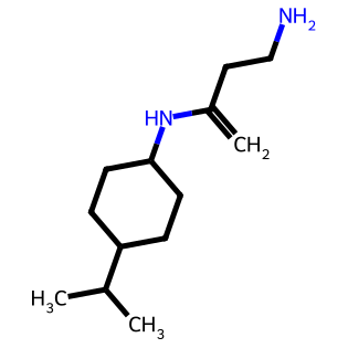 C=C(CCN)NC1CCC(C(C)C)CC1